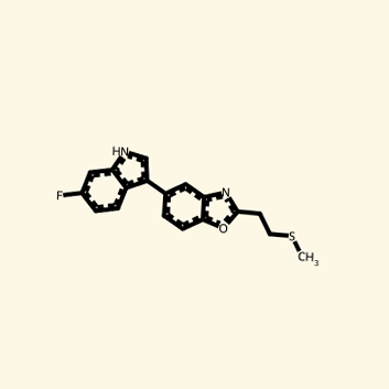 CSCCc1nc2cc(-c3c[nH]c4cc(F)ccc34)ccc2o1